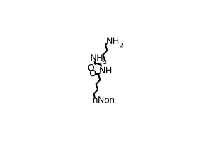 CCCCCCCCCCCCCC(=O)N[C@@H](CCCCN)C(N)=O